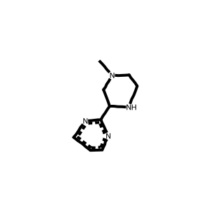 CN1CCNC(c2ncccn2)C1